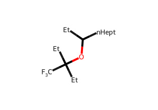 CCCCCCCC(CC)OC(CC)(CC)C(F)(F)F